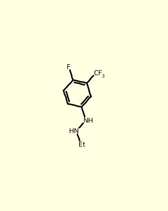 CCNNc1ccc(F)c(C(F)(F)F)c1